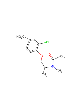 CC(COc1ccc(C(=O)O)cc1Cl)N(C)C(=O)C(F)(F)F